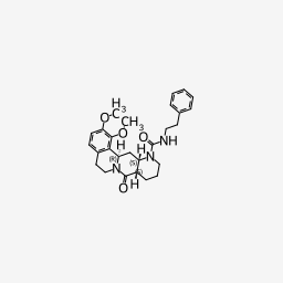 COc1ccc2c(c1OC)[C@H]1C[C@H]3[C@H](CCCN3C(=O)NCCc3ccccc3)C(=O)N1CC2